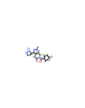 Cc1nc2c(c(-c3ccn[nH]3)n1)CC(C)N(C(=O)c1ccc(F)cc1F)C2